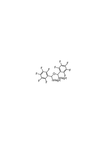 CCCCCCCC(OC(CCCCCCC)c1c(F)c(F)c(F)c(F)c1F)c1c(F)c(F)c(F)c(F)c1F